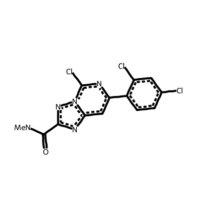 CNC(=O)c1nc2cc(-c3ccc(Cl)cc3Cl)nc(Cl)n2n1